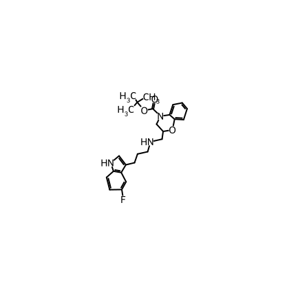 CC(C)(C)OC(=O)N1CC(CNCCCc2c[nH]c3ccc(F)cc23)Oc2ccccc21